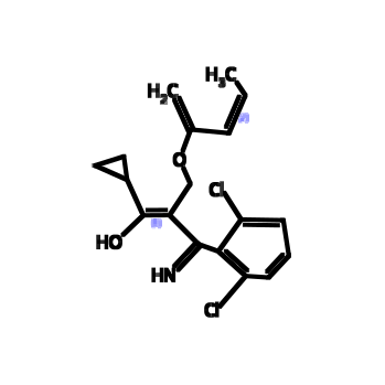 C=C(/C=C\C)OC/C(C(=N)c1c(Cl)cccc1Cl)=C(/O)C1CC1